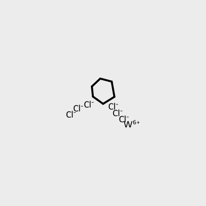 C1CCCCC1.[Cl-].[Cl-].[Cl-].[Cl-].[Cl-].[Cl-].[W+6]